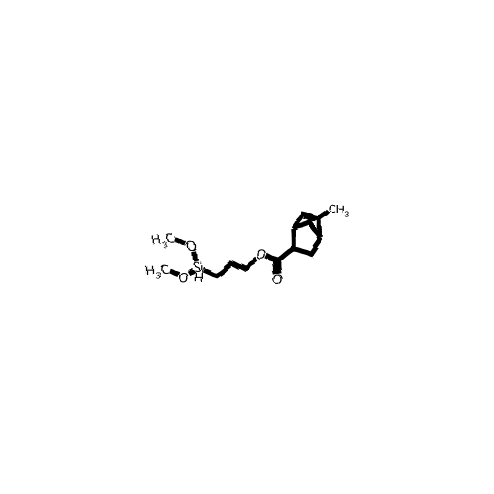 CO[SiH](CCCOC(=O)C1CC2CC1C=C2C)OC